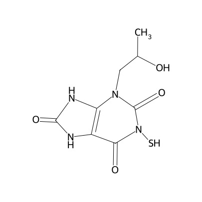 CC(O)Cn1c(=O)n(S)c(=O)c2[nH]c(=O)[nH]c21